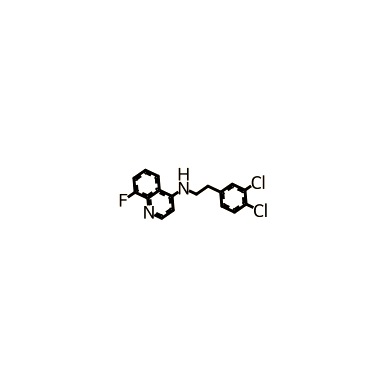 Fc1cccc2c(NCCc3ccc(Cl)c(Cl)c3)ccnc12